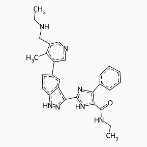 CCNCc1cncc(-c2ccc3[nH]nc(-c4nc(-c5ccccc5)c(C(=O)NCC)[nH]4)c3c2)c1C